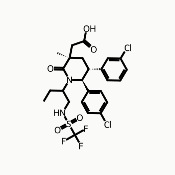 CCC(CNS(=O)(=O)C(F)(F)F)N1C(=O)[C@@](C)(CC(=O)O)C[C@H](c2cccc(Cl)c2)[C@H]1c1ccc(Cl)cc1